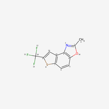 Cc1nc2c(ccc3sc(C(F)(F)F)cc32)o1